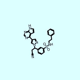 N#CCC(c1cccc(S(=O)(=O)NCCc2ccccc2)c1)n1cc(-c2ncnc3[nH]ccc23)cn1